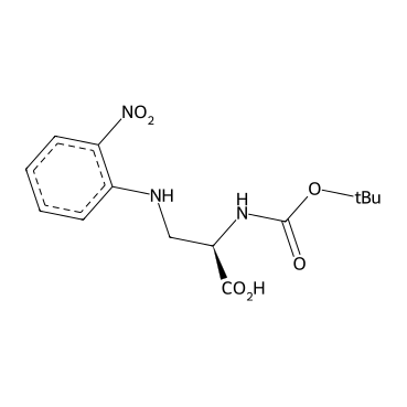 CC(C)(C)OC(=O)N[C@H](CNc1ccccc1[N+](=O)[O-])C(=O)O